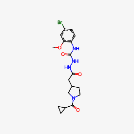 COc1cc(Br)ccc1NC(=O)NNC(=O)CC1CCN(C(=O)C2CC2)C1